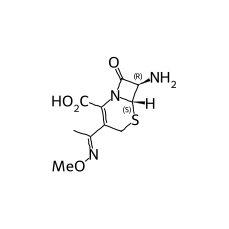 CON=C(C)C1=C(C(=O)O)N2C(=O)[C@@H](N)[C@@H]2SC1